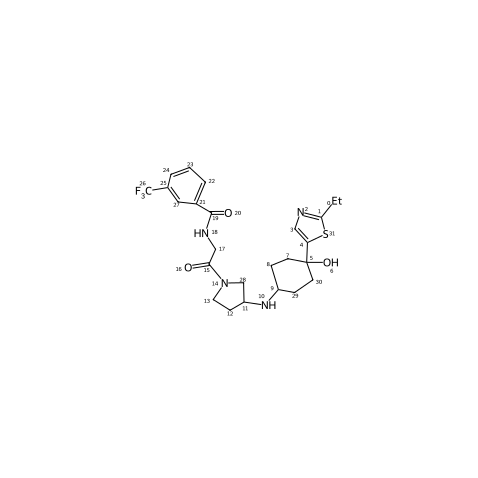 CCc1ncc(C2(O)CCC(NC3CCN(C(=O)CNC(=O)c4cccc(C(F)(F)F)c4)C3)CC2)s1